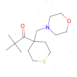 CC(C)(C)C(=O)C1(CN2CCOCC2)CCSCC1